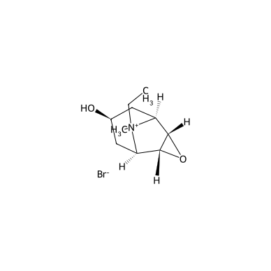 CC[N+]1(C)[C@@H]2C[C@@H](O)C[C@H]1[C@@H]1O[C@@H]12.[Br-]